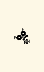 C=CC[Si](Cn1cncn1)(c1ccc(F)cc1)c1ccc(F)cc1